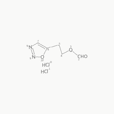 Cl.Cl.O=COCCc1cnno1